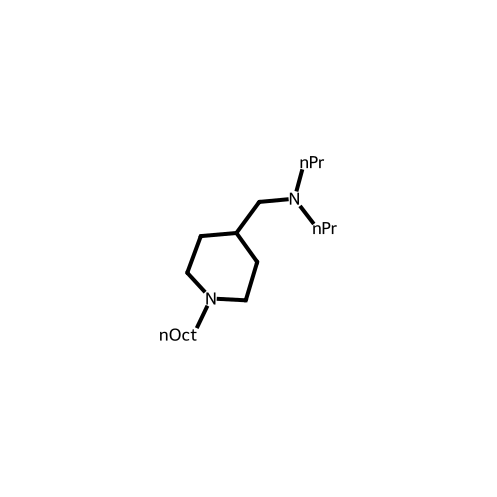 CCCCCCCCN1CCC(CN(CCC)CCC)CC1